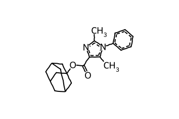 Cc1nc(C(=O)OC23CC4CC(CC(C4)C2)C3)c(C)n1-c1ccccc1